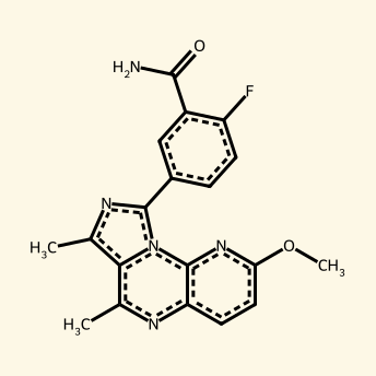 COc1ccc2nc(C)c3c(C)nc(-c4ccc(F)c(C(N)=O)c4)n3c2n1